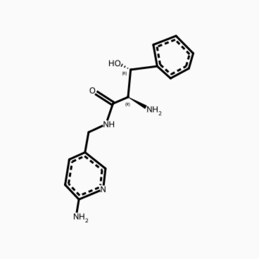 Nc1ccc(CNC(=O)[C@H](N)[C@H](O)c2ccccc2)cn1